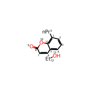 CCCc1cccc2ccc(=O)oc12.CCO